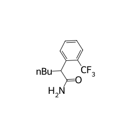 CCCCC(C(N)=O)c1ccccc1C(F)(F)F